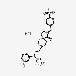 CCOC(=O)NC(CCN1CCC2(CC1)CCN(Cc1ccc(S(C)(=O)=O)cc1)C2=O)c1cccc(Cl)c1.Cl